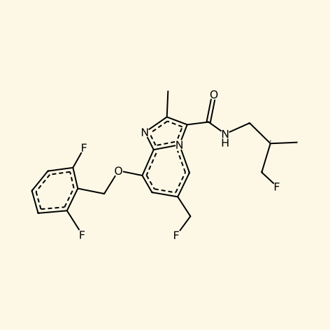 C[C](CF)CNC(=O)c1c(C)nc2c(OCc3c(F)cccc3F)cc(CF)cn12